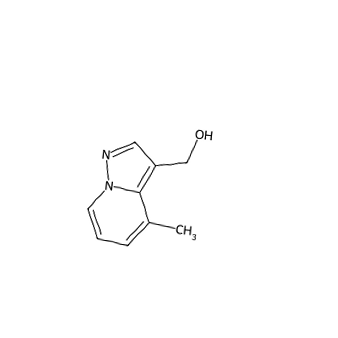 Cc1cccn2ncc(CO)c12